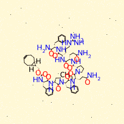 CC1C[C@H](NC(=O)[C@H](Cc2ccccc2)NC(=O)OC[C@H]2[C@@H]3CCC#CCC[C@@H]32)C(=O)N1[C@@H](Cc1ccccc1)C(=O)N[C@@H](CCC(N)=O)C(=O)N1CCC[C@H]1C(=O)N[C@@H](CCC(N)=O)C(=O)N[C@@H](CCCNC(=N)N)C(=O)N[C@@H](Cc1ccccc1)C(N)=O